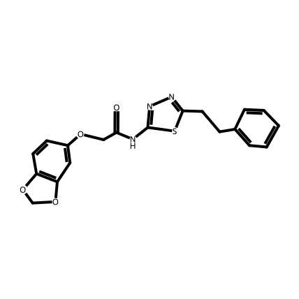 O=C(COc1ccc2c(c1)OCO2)Nc1nnc(CCc2ccccc2)s1